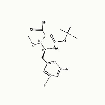 CO[C@H](CC(=O)O)[C@H](Cc1cc(F)cc(F)c1)NC(=O)OC(C)(C)C